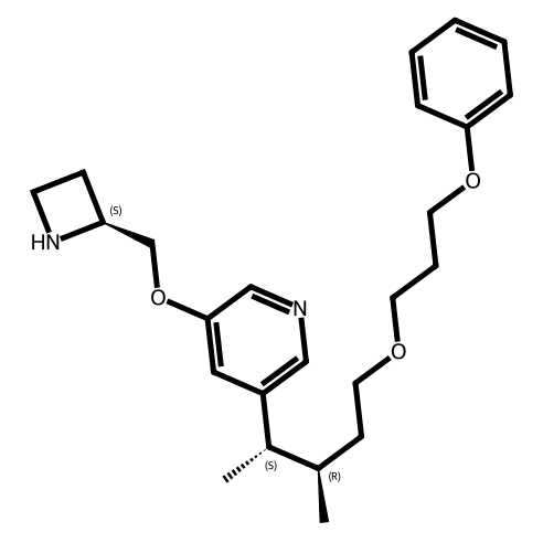 C[C@H](CCOCCCOc1ccccc1)[C@H](C)c1cncc(OC[C@@H]2CCN2)c1